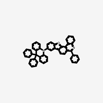 c1ccc(-c2nc3ccccc3c3c2ccc2c4cc(N5c6ccccc6C(c6ccccc6)(c6ccccc6)c6ccccc65)ccc4oc23)cc1